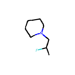 CC(F)CN1CCCCC1